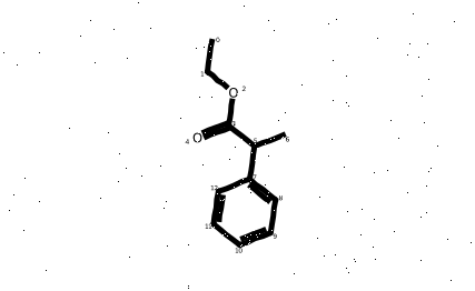 C[CH]OC(=O)C(C)c1ccccc1